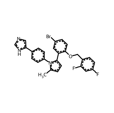 Cc1ccc(-c2cc(Br)ccc2OCc2ccc(F)cc2F)n1-c1ccc(-c2cnc[nH]2)cc1